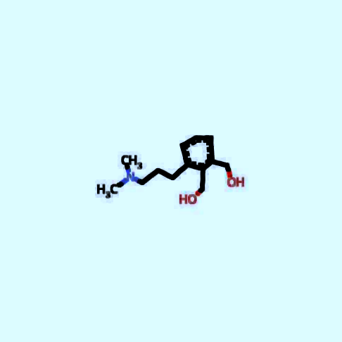 CN(C)CCCc1cccc(CO)c1CO